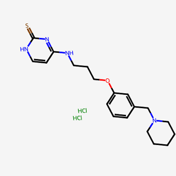 Cl.Cl.S=c1nc(NCCCOc2cccc(CN3CCCCC3)c2)cc[nH]1